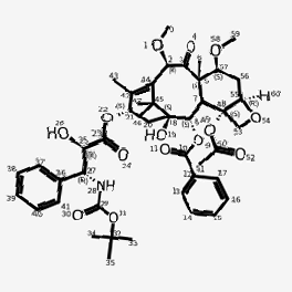 CO[C@H]1C(=O)[C@@]2(C)C([C@H](OC(=O)c3ccccc3)[C@]3(O)C[C@H](OC(=O)[C@H](O)[C@H](NC(=O)OC(C)(C)C)c4ccccc4)C(C)=C1C3(C)C)[C@]1(OC(C)=O)CO[C@@H]1C[C@@H]2OC